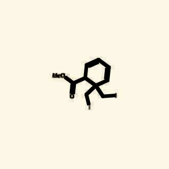 COC(=O)C1C=CC=CC1(CI)CI